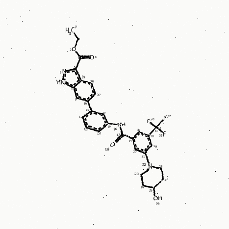 CCOC(=O)c1n[nH]c2cc(-c3cccc(NC(=O)c4cc(N5CCC(O)CC5)cc(C(F)(F)F)c4)c3)ccc12